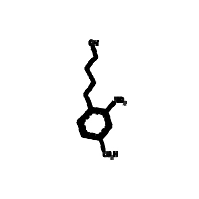 O=C(O)c1ccc(CCCCO)c([N+](=O)[O-])c1